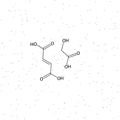 O=C(O)C=CC(=O)O.O=C(O)CO